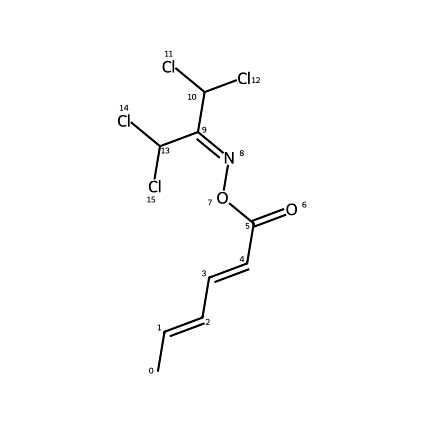 CC=CC=CC(=O)ON=C(C(Cl)Cl)C(Cl)Cl